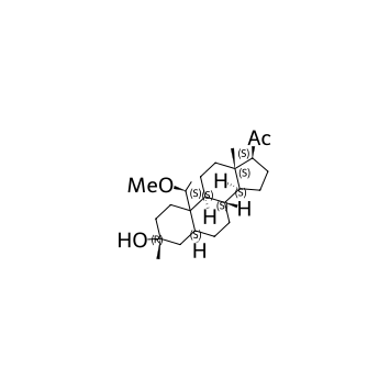 CO[C@@H](C)C12CC[C@@](C)(O)C[C@@H]1CC[C@@H]1[C@@H]2CC[C@]2(C)[C@@H](C(C)=O)CC[C@@H]12